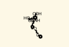 O=C(O)COc1cc(C(=O)O)ccc1NC(=O)CCc1cccc(OCCCCOc2ccccc2)c1